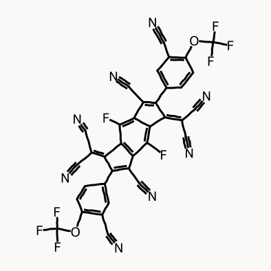 N#CC(C#N)=C1C(c2ccc(OC(F)(F)F)c(C#N)c2)=C(C#N)c2c(F)c3c(c(F)c21)C(C#N)=C(c1ccc(OC(F)(F)F)c(C#N)c1)C3=C(C#N)C#N